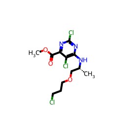 COC(=O)c1nc(Cl)nc(N[C@H](C)COCCCCl)c1Cl